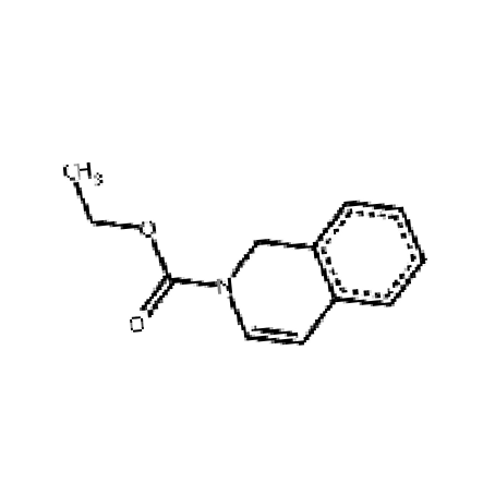 CCOC(=O)N1C=Cc2ccccc2C1